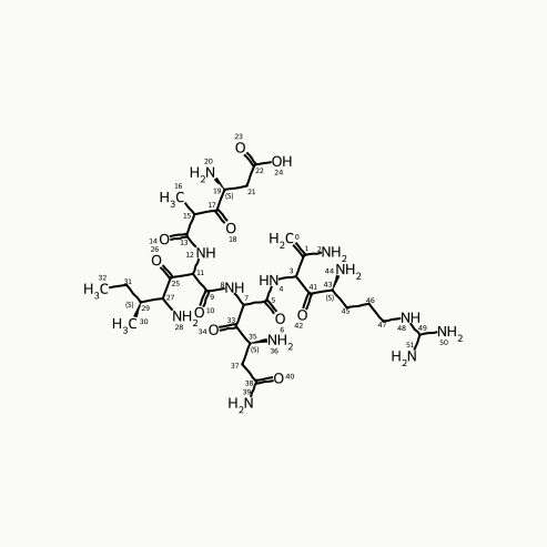 C=C(N)C(NC(=O)C(NC(=O)C(NC(=O)C(C)C(=O)[C@@H](N)CC(=O)O)C(=O)C(N)[C@@H](C)CC)C(=O)[C@@H](N)CC(N)=O)C(=O)[C@@H](N)CCCNC(N)N